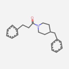 O=C(CCc1ccccc1)N1CCC(Cc2ccccc2)CC1